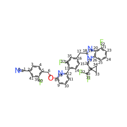 N#Cc1ccc(COc2cccc(-c3ccc(Cc4nc5c(F)cccc5n4CC4(C(F)F)CC4)cc3F)n2)c(F)c1